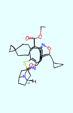 CCOC(=O)c1ccc2nc(N3C4CC[C@H]3C[C@H](OCc3c(C5CCC6(CC5)CC6)noc3C3CC3)C4)sc2c1